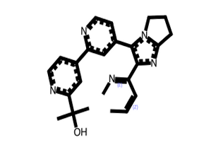 C/C=C\C(=N/C)c1nc2n(c1-c1ccnc(-c3ccnc(C(C)(C)O)c3)c1)CCC2